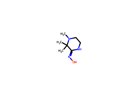 CN1CCN/C(=N\O)C1(C)C